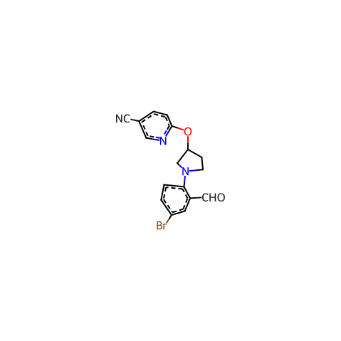 N#Cc1ccc(OC2CCN(c3ccc(Br)cc3C=O)C2)nc1